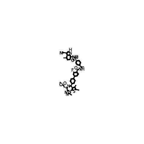 COC(=O)C[C@@H]1N=C(c2ccc(-c3ccc(C(=O)N[C@H](C)c4ccc(S(=O)(=O)Nc5ccc(C)c6c(C#N)c[nH]c56)cc4)c(F)c3)cc2)c2c(sc(C)c2C)-n2c(C)nnc21